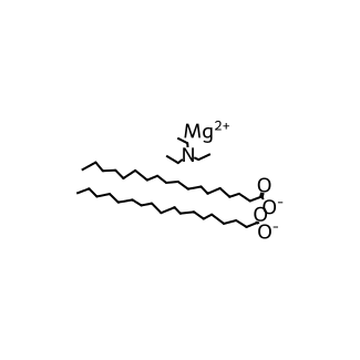 CCCCCCCCCCCCCCCCCC(=O)[O-].CCCCCCCCCCCCCCCCCC(=O)[O-].CCN(CC)CC.[Mg+2]